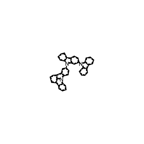 c1ccc2c(c1)c1ccccc1n2-c1ccc2c3ccccc3n(-c3ccc4c(c3)c3cccc5c6ccccc6n4c53)c2c1